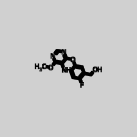 COc1ncnc(Oc2ccc(F)c(CO)c2)c1N